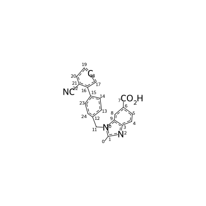 Cc1nc2ccc(C(=O)O)cc2n1Cc1ccc(-c2ccccc2C#N)cc1